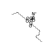 CCCC/C=C\CCCCCCCC(=O)O[C@H](COC(=O)CCCCCC/C=C\C/C=C\C/C=C\CCCCC)COP(=O)([O-])OCC[N+](C)(C)C